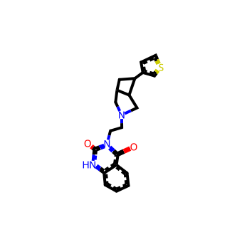 O=c1[nH]c2ccccc2c(=O)n1CCN1CC2CC(c3ccsc3)C2C1